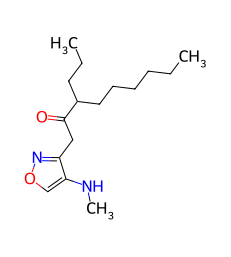 CCCCCCC(CCC)C(=O)Cc1nocc1NC